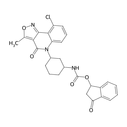 Cc1onc2c1c(=O)n(C1CCCC(NC(=O)OC3CC(=O)c4ccccc43)C1)c1cccc(Cl)c21